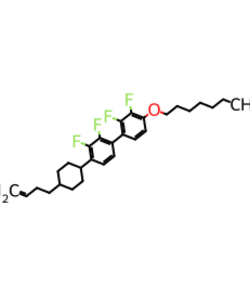 C=CCCC1CCC(c2ccc(-c3ccc(OCCCCCCC)c(F)c3F)c(F)c2F)CC1